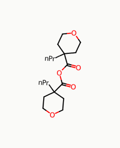 CCCC1(C(=O)OC(=O)C2(CCC)CCOCC2)CCOCC1